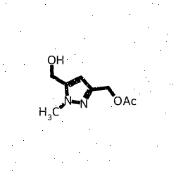 CC(=O)OCc1cc(CO)n(C)n1